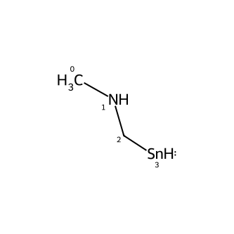 CN[CH2][SnH]